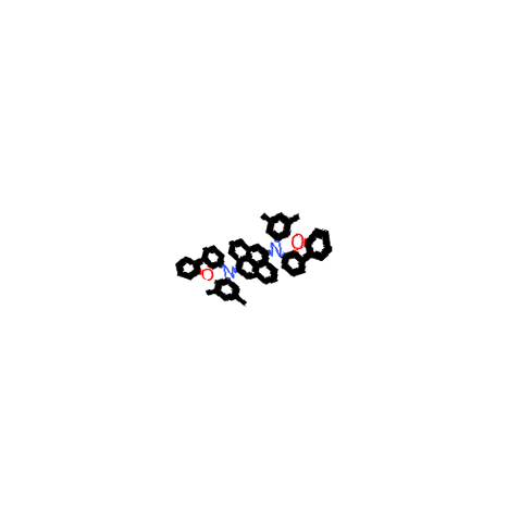 Cc1cc(C)cc(N(c2cc3cccc4c(N(c5cc(C)cc(C)c5)c5cccc6c5oc5ccccc56)cc5cccc2c5c34)c2cccc3c2oc2ccccc23)c1